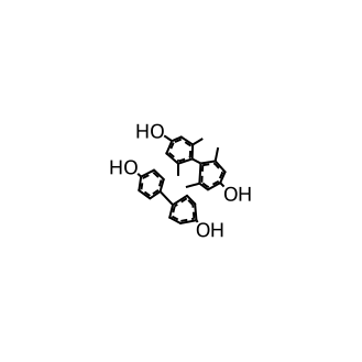 Cc1cc(O)cc(C)c1-c1c(C)cc(O)cc1C.Oc1ccc(-c2ccc(O)cc2)cc1